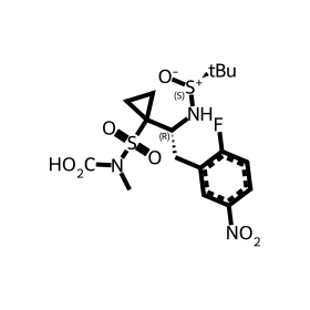 CN(C(=O)O)S(=O)(=O)C1([C@@H](Cc2cc([N+](=O)[O-])ccc2F)N[S@+]([O-])C(C)(C)C)CC1